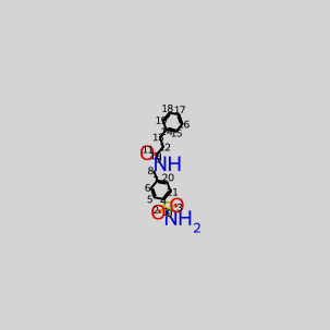 NS(=O)(=O)c1ccc(CNC(=O)CCc2ccccc2)cc1